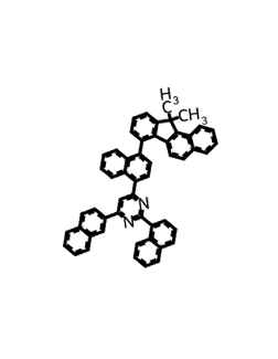 CC1(C)c2cccc(-c3ccc(-c4cc(-c5ccc6ccccc6c5)nc(-c5cccc6ccccc56)n4)c4ccccc34)c2-c2ccc3ccccc3c21